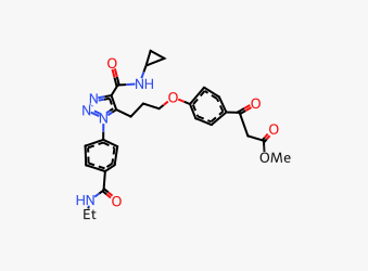 CCNC(=O)c1ccc(-n2nnc(C(=O)NC3CC3)c2CCCOc2ccc(C(=O)CC(=O)OC)cc2)cc1